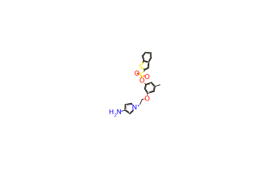 Cc1cc(OCC[n+]2ccc(N)cc2)cc(OS(=O)(=O)c2cc3ccccc3s2)c1